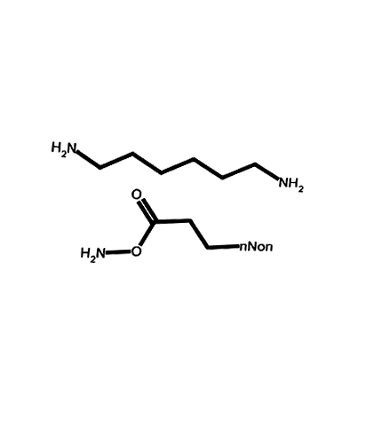 CCCCCCCCCCCC(=O)ON.NCCCCCCN